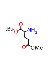 COC(=O)CCC(N)C(=O)OC(C)(C)C